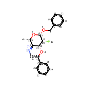 CO/N=C1/[C@H](C)O[C@H](OCc2ccccc2)[C@H](F)[C@@H]1OCc1ccccc1